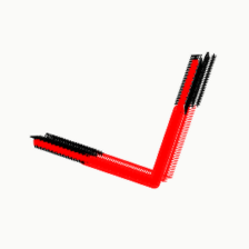 [O-2].[O-2].[O-2].[O-2].[O-2].[O-2].[O-2].[O-2].[O-2].[O-2].[O-2].[O-2].[O-2].[O-2].[O-2].[O-2].[O-2].[O-2].[O-2].[O-2].[O-2].[O-2].[O-2].[O-2].[O-2].[O-2].[O-2].[O-2].[O-2].[O-2].[O-2].[O-2].[O-2].[O-2].[O-2].[O-2].[O-2].[O-2].[O-2].[O-2].[O-2].[O-2].[O-2].[O-2].[O-2].[O-2].[O-2].[O-2].[O-2].[O-2].[O-2].[O-2].[O-2].[O-2].[O-2].[O-2].[O-2].[O-2].[O-2].[O-2].[O-2].[O-2].[O-2].[O-2].[O-2].[O-2].[O-2].[O-2].[O-2].[O-2].[O-2].[O-2].[O-2].[O-2].[Ti+4].[Ti+4].[Ti+4].[Ti+4].[Ti+4].[Ti+4].[Ti+4].[Ti+4].[Ti+4].[Ti+4].[Ti+4].[Ti+4].[Ti+4].[Ti+4].[Ti+4].[Ti+4].[Ti+4].[Ti+4].[Ti+4].[Ti+4].[Ti+4].[Ti+4].[Ti+4].[Ti+4].[Ti+4].[Ti+4].[Ti+4].[Ti+4].[Ti+4].[Ti+4].[Ti+4].[Ti+4].[Ti+4].[Ti+4].[Ti+4].[Ti+4].[Ti+4].[Ti+4].[Ti+4].[Ti+4].[Ti+4].[Ti+4].[Ti+4].[Ti+4].[Ti+4].[Ti+4].[Ti+4].[Ti+4].[Ti+4].[Ti+4].[Ti+4].[Ti+4]